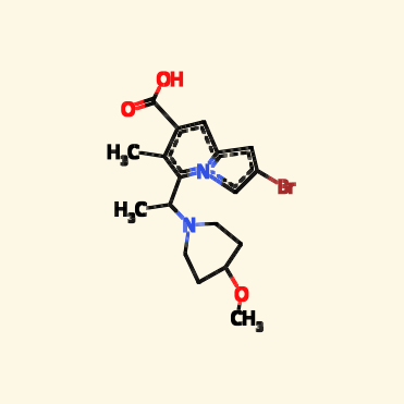 COC1CCN(C(C)c2c(C)c(C(=O)O)cc3cc(Br)cn23)CC1